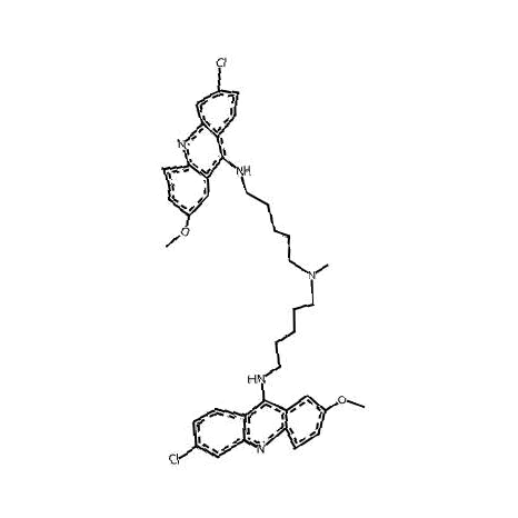 COc1ccc2nc3cc(Cl)ccc3c(NCCCCCN(C)CCCCCNc3c4ccc(Cl)cc4nc4ccc(OC)cc34)c2c1